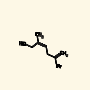 C=C(CC=C(C)CO)C(C)C